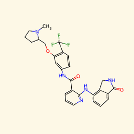 CN1CCCC1COc1cc(NC(=O)c2cccnc2Nc2cccc3c2CNC3=O)ccc1C(F)(F)F